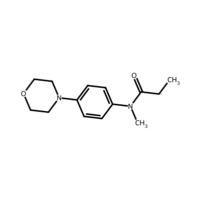 C[CH]C(=O)N(C)c1ccc(N2CCOCC2)cc1